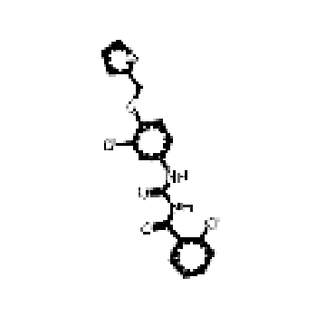 O=C(NC(=O)c1ccccc1Cl)Nc1ccc(OCc2cccs2)c(Cl)c1